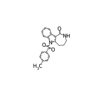 Cc1ccc(S(=O)(=O)n2c3c(c4ccccc42)C(=O)NCCC3)cc1